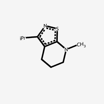 CC(C)c1nsc2c1CCCN2C